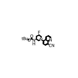 CC(C)(C)OC(=O)N[C@@H]1C[C@H](F)CN(c2ccc(C#N)c3ncccc23)C1